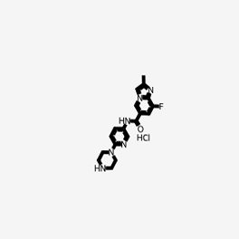 Cc1cn2cc(C(=O)Nc3ccc(N4CCNCC4)nc3)cc(F)c2n1.Cl